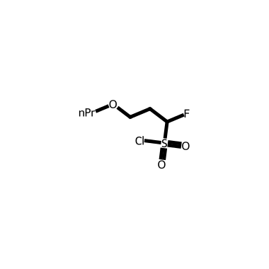 CCCOCCC(F)S(=O)(=O)Cl